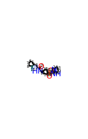 O=C(/C=C/c1ccccc1F)Nc1ccc(S(=O)(=O)Nc2ccccn2)cc1